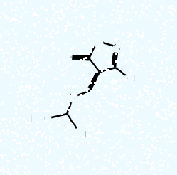 CC1=NOC(=O)C1=CNC(C)O